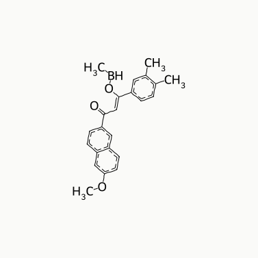 CBO/C(=C\C(=O)c1ccc2cc(OC)ccc2c1)c1ccc(C)c(C)c1